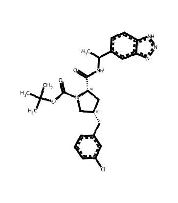 CC(NC(=O)[C@@H]1C[C@H](Cc2cccc(Cl)c2)CN1C(=O)OC(C)(C)C)c1ccc2[nH]nnc2c1